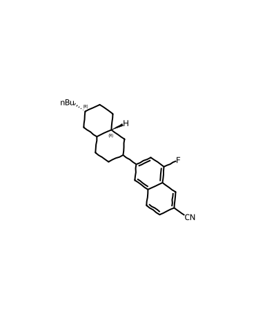 CCCC[C@@H]1CC[C@@H]2CC(c3cc(F)c4cc(C#N)ccc4c3)CCC2C1